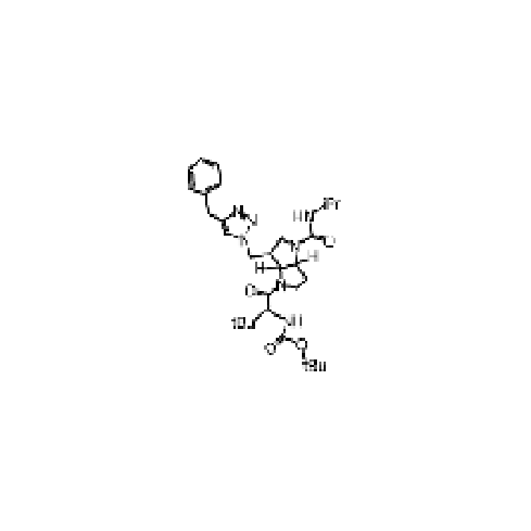 CC(C)NC(=O)N1C[C@H](Cn2cc(Cc3ccccc3)nn2)[C@@H]2[C@H]1CCN2C(=O)[C@@H](NC(=O)OC(C)(C)C)C(C)(C)C